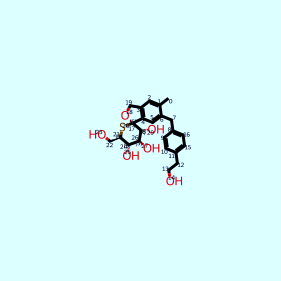 Cc1cc2c(cc1Cc1ccc(CCO)cc1)[C@]1(OC2)S[C@H](CO)[C@@H](O)[C@H](O)[C@H]1O